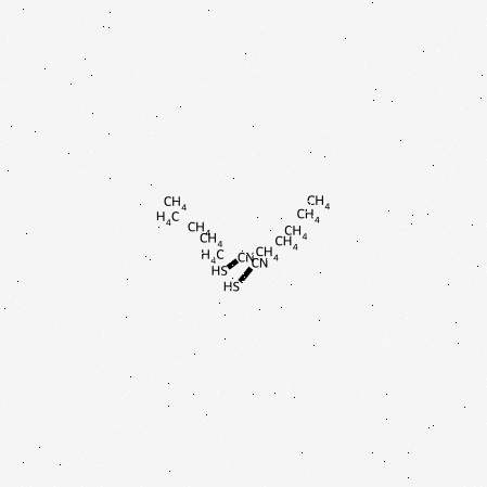 C.C.C.C.C.C.C.C.C.C.N#CS.N#CS